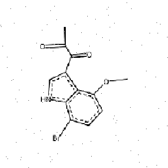 COc1ccc(Br)c2[nH]cc(C(=O)C(C)=O)c12